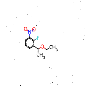 CCOC(C)c1cccc([N+](=O)[O-])c1F